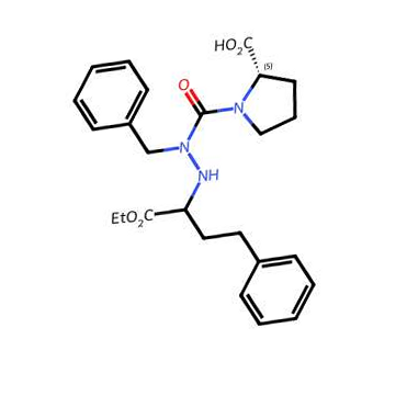 CCOC(=O)C(CCc1ccccc1)NN(Cc1ccccc1)C(=O)N1CCC[C@H]1C(=O)O